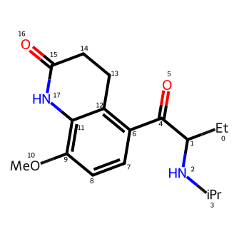 CCC(NC(C)C)C(=O)c1ccc(OC)c2c1CCC(=O)N2